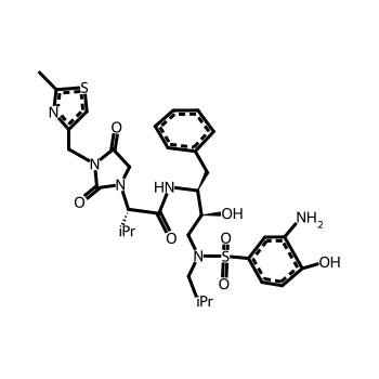 Cc1nc(CN2C(=O)CN([C@H](C(=O)N[C@@H](Cc3ccccc3)[C@@H](O)CN(CC(C)C)S(=O)(=O)c3ccc(O)c(N)c3)C(C)C)C2=O)cs1